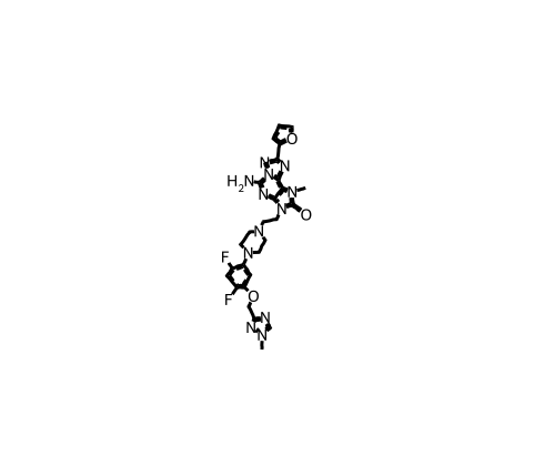 Cn1cnc(COc2cc(N3CCN(CCn4c(=O)n(C)c5c4nc(N)n4nc(-c6ccco6)nc54)CC3)c(F)cc2F)n1